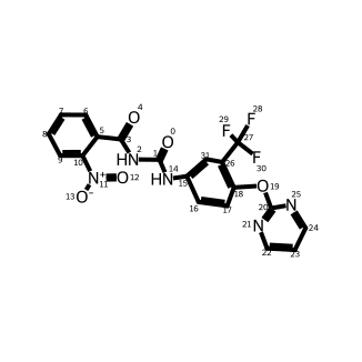 O=C(NC(=O)c1ccccc1[N+](=O)[O-])Nc1ccc(Oc2ncccn2)c(C(F)(F)F)c1